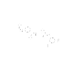 O=C(c1cccc(N2CCCC2=O)c1)N1CCC2(CC1)OC1CC[C@@H](c3cc(F)cc(F)c3)N1C2=O